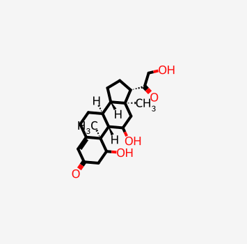 C[C@]12CC(O)[C@H]3[C@@H](CCC4=CC(=O)CC(O)[C@@]43C)[C@@H]1CC[C@@H]2C(=O)CO